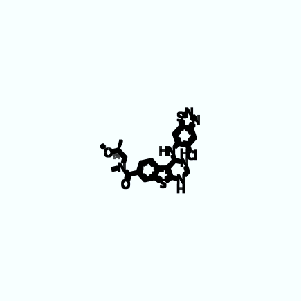 CO[C@@H](C)CN(C)C(=O)c1ccc2c3c(sc2c1)NCNC3Nc1cc2snnc2cc1Cl